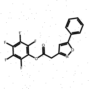 O=C(Cc1cc(-c2ccccc2)on1)Oc1c(F)c(F)c(F)c(F)c1F